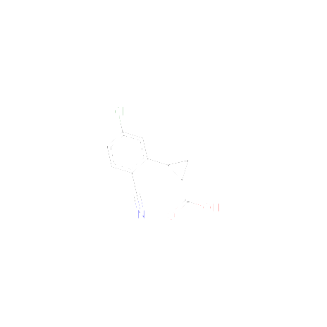 N#Cc1ccc(Cl)cc1C1C[C@@H]1C(=O)O